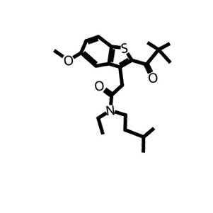 CCN(CCC(C)C)C(=O)Cc1c(C(=O)C(C)(C)C)sc2ccc(OC)cc12